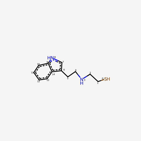 SCCNCCc1c[nH]c2ccccc12